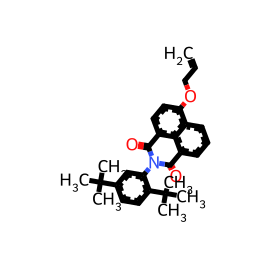 C=CCOc1ccc2c3c(cccc13)C(=O)N(c1cc(C(C)(C)C)ccc1C(C)(C)C)C2=O